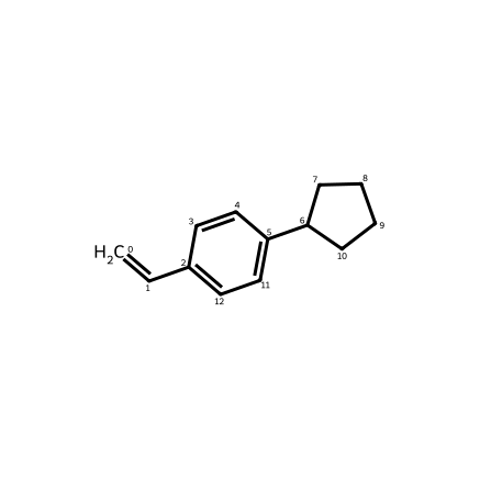 C=Cc1ccc(C2CCCC2)cc1